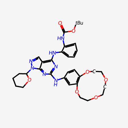 CC(C)(C)OC(=O)Nc1ccccc1Nc1nc(Nc2ccc3c(c2)OCCOCCOCCO3)nc2c1cnn2C1CCCCO1